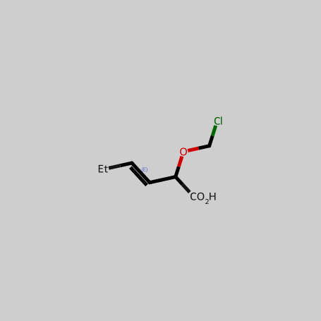 CC/C=C/C(OCCl)C(=O)O